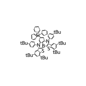 CC(C)(C)c1ccc(N2c3cc([Si](c4ccccc4)(c4ccccc4)c4ccccc4)cc4c3B(c3sc5c(C(C)(C)C)cc(C(C)(C)C)cc5c32)c2sc3c(C(C)(C)C)cc(C(C)(C)C)cc3c2N4c2ccc(C(C)(C)C)cc2)cc1